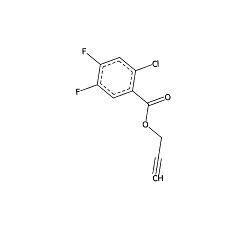 C#CCOC(=O)c1cc(F)c(F)cc1Cl